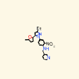 CCc1cc(-c2ccc(C)o2)n(-c2ccc(NCc3cccnc3)c([N+](=O)[O-])c2)n1